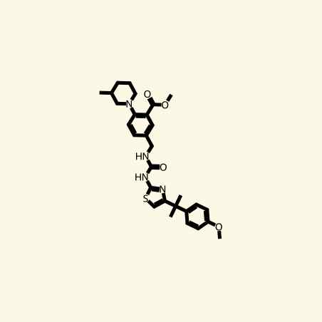 COC(=O)c1cc(CNC(=O)Nc2nc(C(C)(C)c3ccc(OC)cc3)cs2)ccc1N1CCCC(C)C1